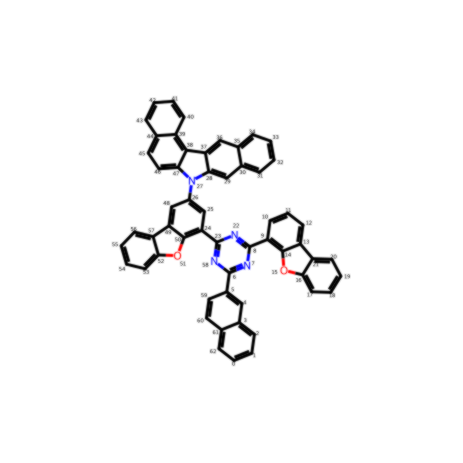 c1ccc2cc(-c3nc(-c4cccc5c4oc4ccccc45)nc(-c4cc(-n5c6cc7ccccc7cc6c6c7ccccc7ccc65)cc5c4oc4ccccc45)n3)ccc2c1